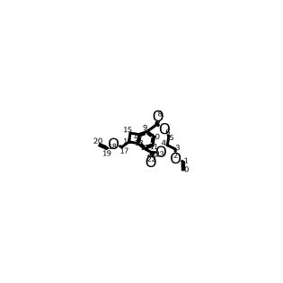 C=COCC1COC(=O)c2ccc(c3c2CC3COC=C)C(=O)O1